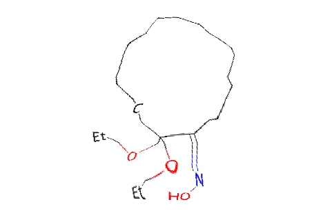 CCOC1(OCC)CCCCCCCCC1=NO